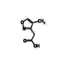 Cc1conc1CC(=O)O